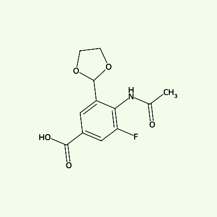 CC(=O)Nc1c(F)cc(C(=O)O)cc1C1OCCO1